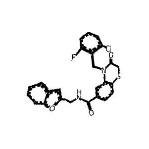 O=C(NCc1cc2ccccc2o1)c1ccc2c(c1)N(Cc1c(F)cccc1Cl)C(=O)CS2